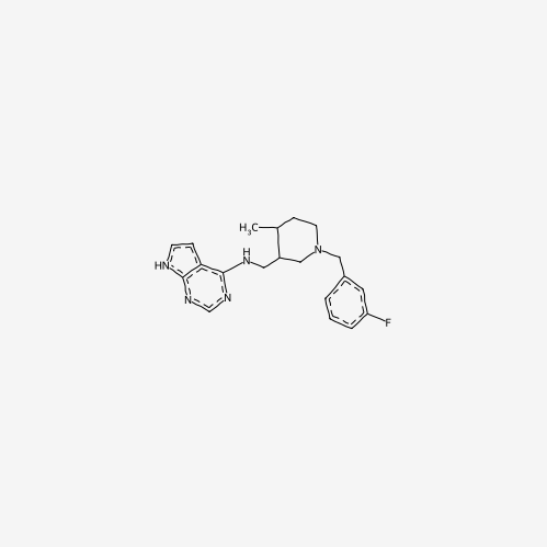 CC1CCN(Cc2cccc(F)c2)CC1CNc1ncnc2[nH]ccc12